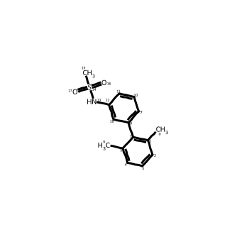 Cc1cccc(C)c1-c1cccc(NS(C)(=O)=O)c1